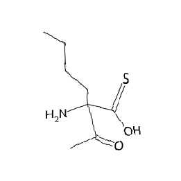 CCCCC(N)(C(C)=O)C(O)=S